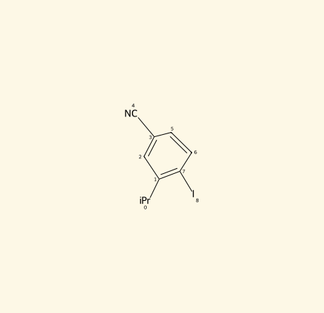 [CH2]C(C)c1cc(C#N)ccc1I